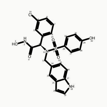 O=C(NO)[C@@H](c1cccc(Cl)c1)N(Cc1ccc2[nH]ccc2c1)S(=O)(=O)c1ccc(O)cc1